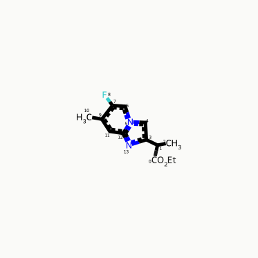 CCOC(=O)C(C)c1cn2cc(F)c(C)cc2n1